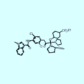 CCOC(=O)C1CCC(OC(C(=O)Cc2cc(Cl)c(NC(=O)c3cn(C)c4ccccc34)cc2Cl)(N2CCCC2)N2CCCC2OC)CC1